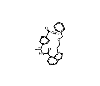 COC(=O)c1ccc([C@H](C)NC(=O)c2cccc3ccn(CCOCc4ccccc4)c23)cc1